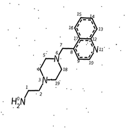 NCCN1CCN(Cc2ccnc3ccccc23)CC1